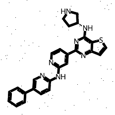 c1ccc(-c2ccc(Nc3cc(-c4nc(N[C@@H]5CCNC5)c5sccc5n4)ccn3)nc2)cc1